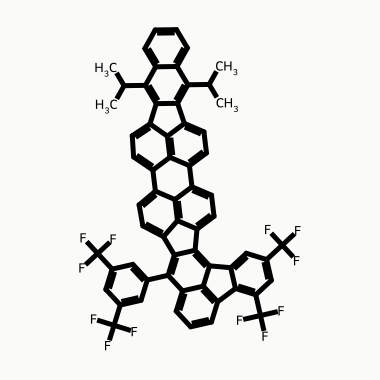 CC(C)c1c2c(c(C(C)C)c3ccccc13)-c1ccc3c4ccc5c6c(ccc(c7ccc-2c1c73)c46)c1c(-c2cc(C(F)(F)F)cc(C(F)(F)F)c2)c2cccc3c4c(C(F)(F)F)cc(C(F)(F)F)cc4c(c23)c51